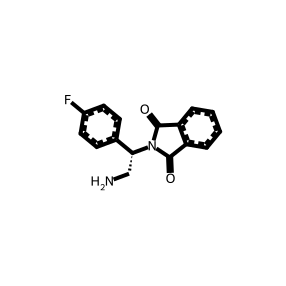 NC[C@H](c1ccc(F)cc1)N1C(=O)c2ccccc2C1=O